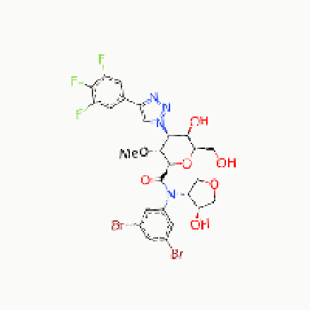 CO[C@@H]1[C@@H](n2cc(-c3cc(F)c(F)c(F)c3)nn2)[C@@H](O)[C@@H](CO)O[C@H]1C(=O)N(c1cc(Br)cc(Br)c1)[C@@H]1COC[C@H]1O